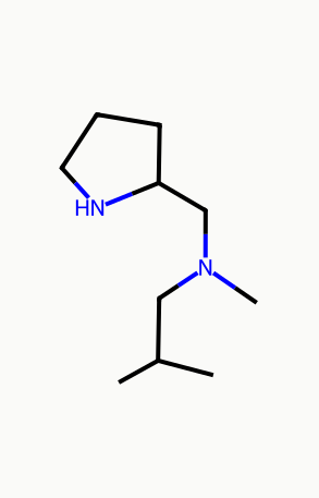 CC(C)CN(C)CC1CCCN1